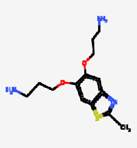 Cc1nc2cc(OCCCN)c(OCCCN)cc2s1